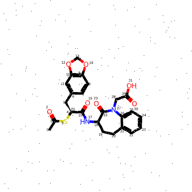 CC(=O)S[C@@H](Cc1ccc2c(c1)OCO2)C(=O)NC1CCc2ccccc2N(CC(=O)O)C1=O